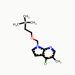 Cc1cnc2c(ccn2COCC[Si](C)(C)C)c1Cl